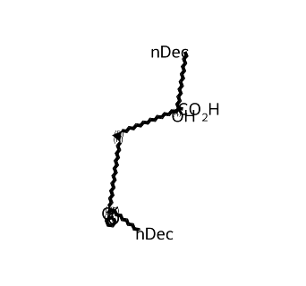 CCCCCCCCCCCCCCCCCCCCCCCCC(C(=O)O)[C@H](O)CCCCCCCCCCCCCCC[C@@H]1C[C@H]1CCCCCCCCCCCCCCCCCC[C@H](O[C@H]1CCCCO1)[C@@H](C)CCCCCCCCCCCCCCCCCC